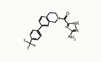 Nc1n[nH]c(C(=O)N2CCc3ccc(-c4ccc(C(F)(F)F)cc4)cc3C2)n1